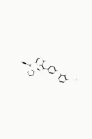 CC#CC(=O)N1CCC[C@H]1c1nc(-c2ccc(Oc3cccc(OC)c3F)cc2)c2c(O)nccn12